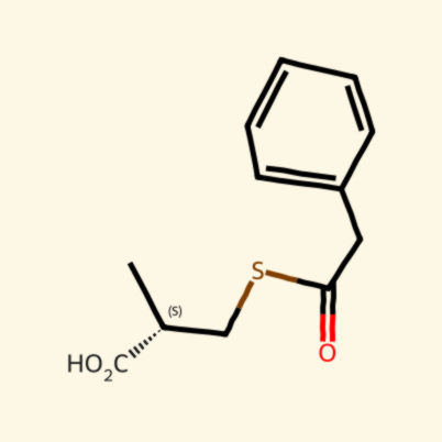 C[C@H](CSC(=O)Cc1ccccc1)C(=O)O